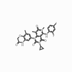 Cc1cc(-n2c(=O)n(C3CC3)c(=O)c3c(Nc4ccc(I)cc4F)n(C)c(=O)c(C)c32)cc2c1OCC(=O)N2